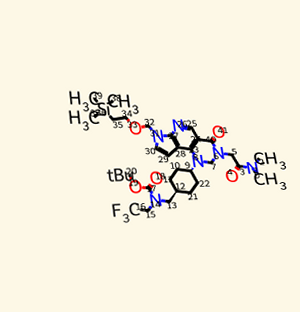 CN(C)C(=O)CN1CN([C@H]2CC[C@H](CN(CC(F)(F)F)C(=O)OC(C)(C)C)CC2)c2c(cnc3c2ccn3COCC[Si](C)(C)C)C1=O